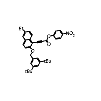 CCc1ccc2c(C#CC(=O)Oc3ccc([N+](=O)[O-])cc3)c(OCc3cc(C(C)(C)C)cc(C(C)(C)C)c3)ccc2c1